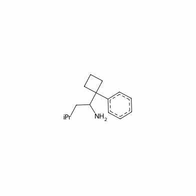 CC(C)CC(N)C1(c2ccccc2)CCC1